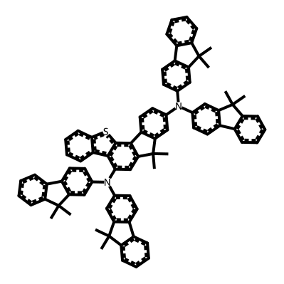 CC1(C)c2ccccc2-c2ccc(N(c3ccc4c(c3)C(C)(C)c3ccccc3-4)c3ccc4c(c3)C(C)(C)c3cc(N(c5ccc6c(c5)C(C)(C)c5ccccc5-6)c5ccc6c(c5)C(C)(C)c5ccccc5-6)c5c(sc6ccccc65)c3-4)cc21